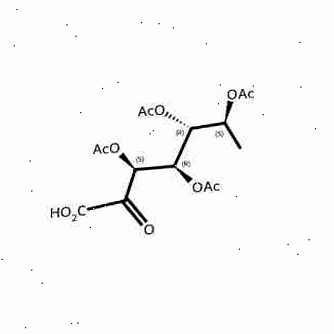 CC(=O)O[C@H]([C@H](OC(C)=O)[C@H](C)OC(C)=O)[C@H](OC(C)=O)C(=O)C(=O)O